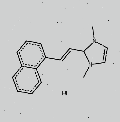 CN1C=CN(C)C1C=Cc1cccc2ccccc12.I